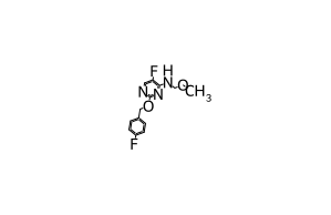 COCNc1nc(OCc2ccc(F)cc2)ncc1F